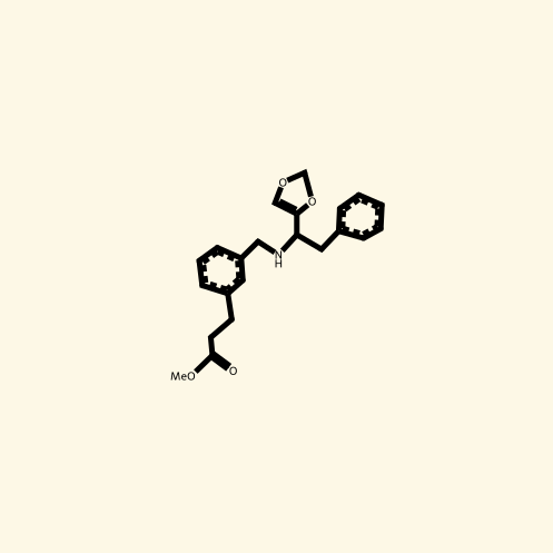 COC(=O)CCc1cccc(CNC(Cc2ccccc2)C2=COCO2)c1